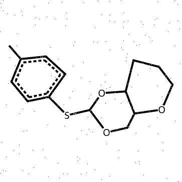 Cc1ccc(SC2OCC3OCCCC3O2)cc1